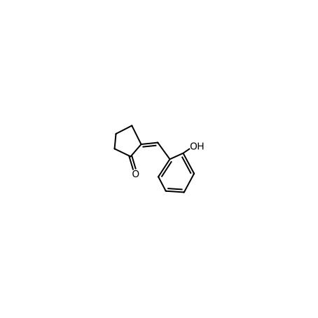 O=C1CCC/C1=C/c1ccccc1O